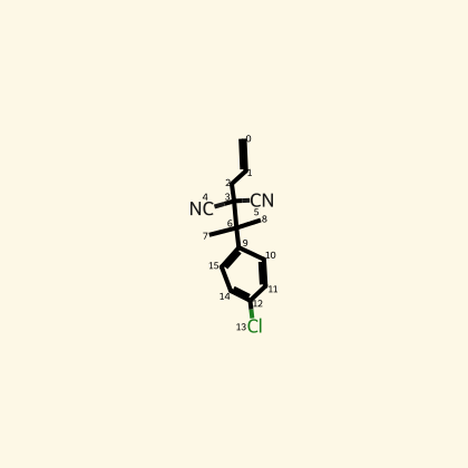 C=CCC(C#N)(C#N)C(C)(C)c1ccc(Cl)cc1